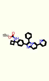 CC(C)(C)OC(=O)NC1(c2ccc(-c3nc4ccc(-c5ccccn5)cn4c3-c3ccccc3)cc2)CCC1